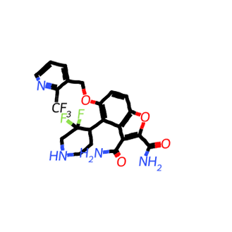 NC(=O)c1oc2ccc(OCc3cccnc3C(F)(F)F)c(C3CCNCC3(F)F)c2c1C(N)=O